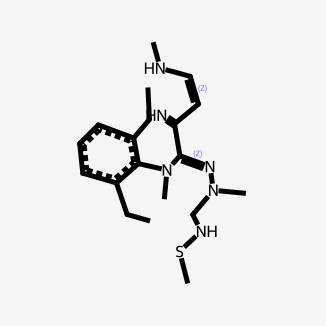 CCc1cccc(CC)c1N(C)/C(=N\N(C)CNSC)C(=N)/C=C\NC